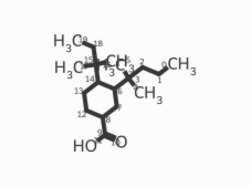 CCCC(C)(C)C1CC(C(=O)O)CCC1C(C)(C)CC